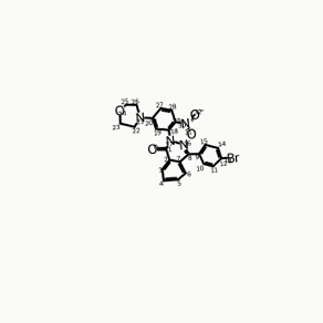 O=c1c2ccccc2c(-c2ccc(Br)cc2)nn1-c1cc(N2CCOCC2)ccc1[N+](=O)[O-]